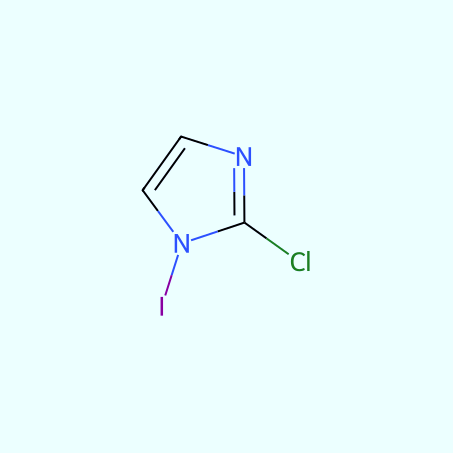 Clc1nccn1I